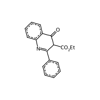 CCOC(=O)C1C(=O)c2ccccc2N=C1c1ccccc1